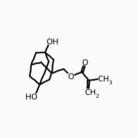 C=C(C)C(=O)OCC12CC3CC(O)(CC(O)(C3)C1)C2